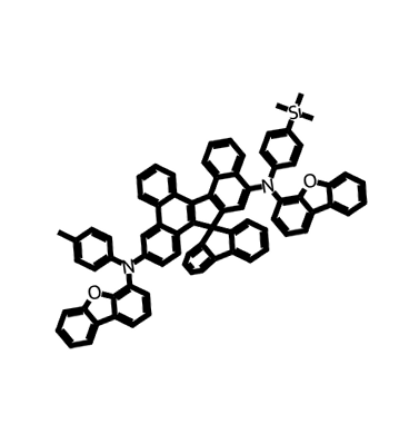 Cc1ccc(N(c2ccc3c4c(c5ccccc5c3c2)-c2c(cc(N(c3ccc([Si](C)(C)C)cc3)c3cccc5c3oc3ccccc35)c3ccccc23)C42c3ccccc3-c3ccccc32)c2cccc3c2oc2ccccc23)cc1